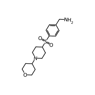 NCc1ccc(S(=O)(=O)C2CCN(C3CCOCC3)CC2)cc1